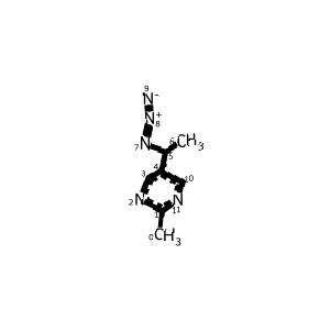 Cc1ncc(C(C)N=[N+]=[N-])cn1